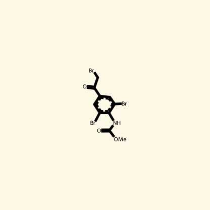 COC(=O)Nc1c(Br)cc(C(=O)CBr)cc1Br